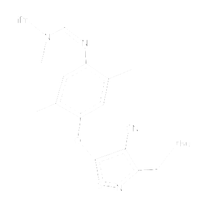 Cc1cc(Oc2snc(CC(C)(C)C)c2C#N)c(C)cc1/N=C\N(C)C(C)C